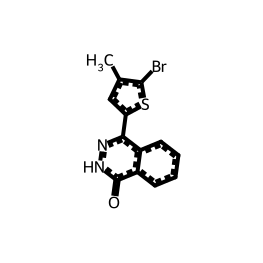 Cc1cc(-c2n[nH]c(=O)c3ccccc23)sc1Br